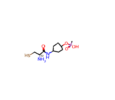 CP(=O)(O)OC1CCC(NC(=O)[C@H](N)CS)CC1